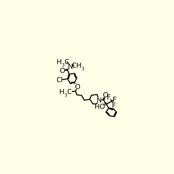 CC(CCCC1CCN(C(=O)[C@](O)(c2ccccc2)C(F)(F)F)CC1)Oc1ccc(C(=O)N(C)C)c(Cl)c1